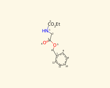 CCOC(=O)NCC(=O)OCc1ccccc1